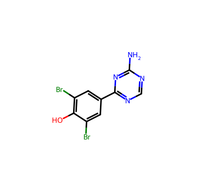 Nc1ncnc(-c2cc(Br)c(O)c(Br)c2)n1